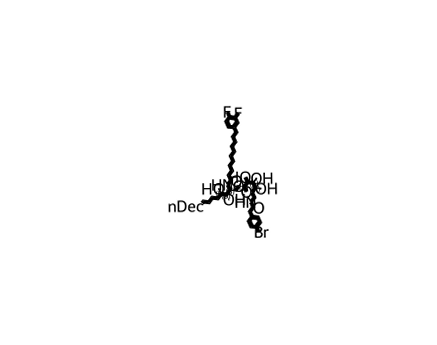 CCCCCCCCCCCCCC[C@@H](O)[C@@H](O)[C@H](CO[C@H]1OC(CNC(=O)Cc2ccc(Br)cc2)[C@H](O)[C@H](O)C1O)NC(=O)CCCCCCCCCCc1ccc(F)c(F)c1